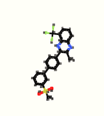 Cc1nc2cccc(C(F)(F)F)c2nc1-c1ccc(-c2cccc(S(C)(=O)=O)c2)cc1